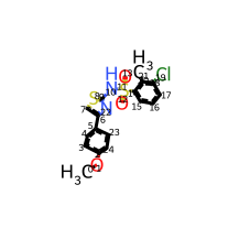 COc1ccc(-c2csc(NS(=O)(=O)c3cccc(Cl)c3C)n2)cc1